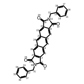 O=c1c2cc3cc4cc5c(=O)n(Cc6ccccc6)c(=O)c5cc4cc3cc2c(=O)n1Cc1ccccc1